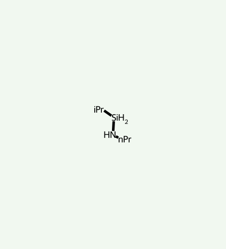 CCCN[SiH2]C(C)C